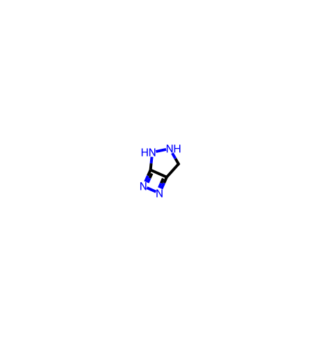 C1NNC2=NN=C12